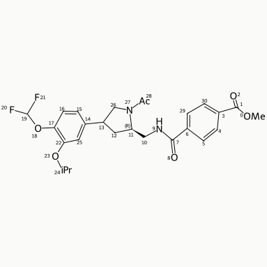 COC(=O)c1ccc(C(=O)NC[C@H]2CC(c3ccc(OC(F)F)c(OC(C)C)c3)CN2C(C)=O)cc1